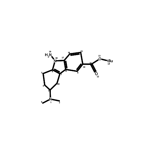 CN(C)C1CCc2c(c3cc(C(=O)OC(C)(C)C)ccc3n2N)C1